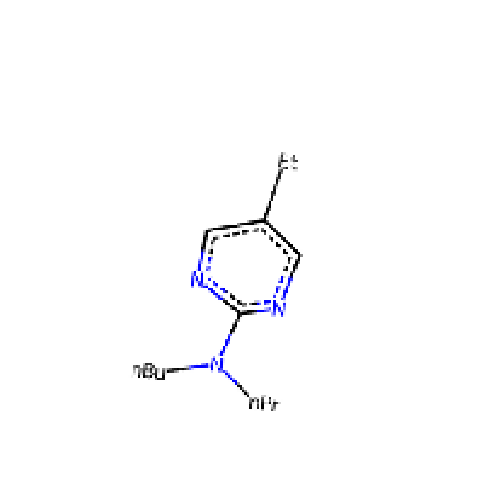 CCCCN(CCC)c1ncc(CC)cn1